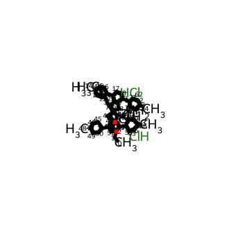 CCCCCCC1=Cc2c(-c3ccc(C)cc3)ccc(-c3ccc(C)cc3)c2[CH]1[Zr]([CH3])([CH3])(=[SiH2])[CH]1C(CCCCCC)=Cc2c(-c3ccc(C)cc3)ccc(-c3ccc(C)cc3)c21.Cl.Cl